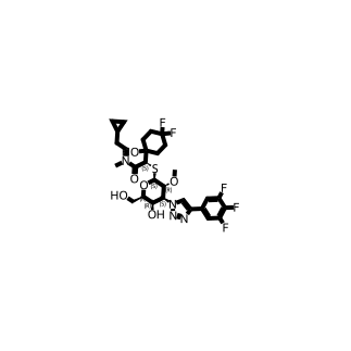 CO[C@@H]1[C@@H](n2cc(-c3cc(F)c(F)c(F)c3)nn2)[C@@H](O)[C@@H](CO)O[C@H]1S[C@H](C(=O)N(C)CCC1CC1)C1(O)CCC(F)(F)CC1